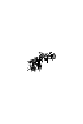 CC(=N)/C=C(\O)C(C(=O)N1CCC[C@H]1C(=O)NC(CC(C)C)c1ccc(-c2scnc2C)cc1)C(C)C